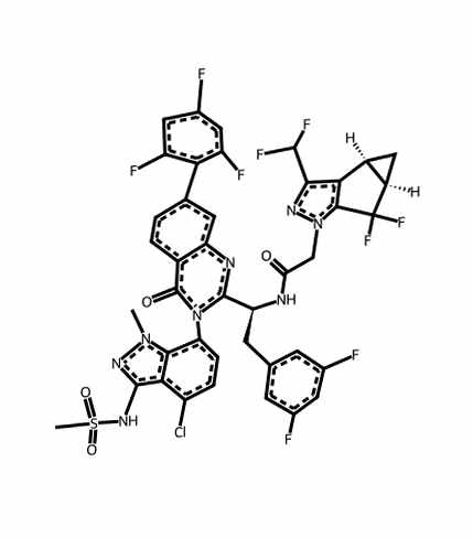 Cn1nc(NS(C)(=O)=O)c2c(Cl)ccc(-n3c([C@H](Cc4cc(F)cc(F)c4)NC(=O)Cn4nc(C(F)F)c5c4C(F)(F)[C@@H]4C[C@H]54)nc4cc(-c5c(F)cc(F)cc5F)ccc4c3=O)c21